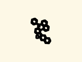 c1ccc(-c2c(N(c3ccccc3)c3ccccc3)ccc3oc4cc5ccccc5cc4c23)cc1